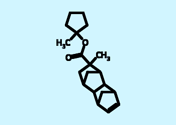 CC1(OC(=O)C2(C)CC3CC2C2C4C=CC(C4)C32)CCCC1